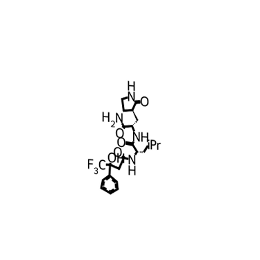 CC(C)C[C@H](NC(=O)CC(O)(c1ccccc1)C(F)(F)F)C(=O)N[C@@H](C[C@H]1CCNC1=O)C(N)=O